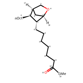 CCCCCCCC[C@H]1[C@H]2CO[C@H](C2)[C@@H]1CCCCCCC(=O)OC